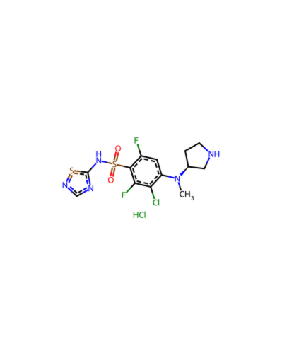 CN(c1cc(F)c(S(=O)(=O)Nc2ncns2)c(F)c1Cl)[C@H]1CCNC1.Cl